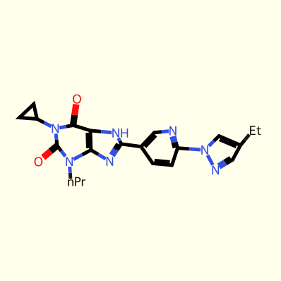 CCCn1c(=O)n(C2CC2)c(=O)c2[nH]c(-c3ccc(-n4cc(CC)cn4)nc3)nc21